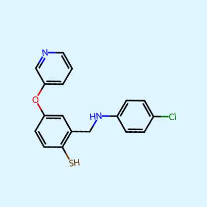 Sc1ccc(Oc2cccnc2)cc1CNc1ccc(Cl)cc1